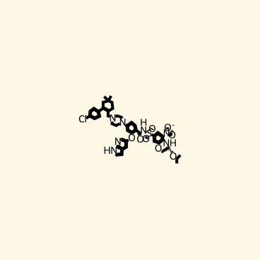 CC(C)OC[C@@H]1COc2cc(S(=O)(=O)NC(=O)c3ccc(N4CCN(CC5=C(c6ccc(Cl)cc6)CC(C)(C)CC5)CC4)cc3Oc3cnc4[nH]ccc4c3)cc([N+](=O)[O-])c2N1